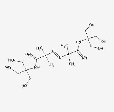 CC(C)(N=NC(C)(C)C(=N)NC(CO)(CO)CO)C(=N)NC(CO)(CO)CO